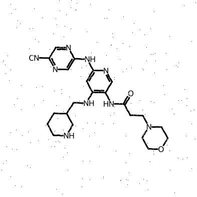 [C-]#[N+]c1cnc(Nc2cc(NCC3CCCNC3)c(NC(=O)CCN3CCOCC3)cn2)cn1